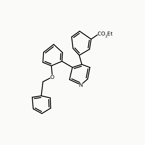 CCOC(=O)c1cccc(-c2ccncc2-c2ccccc2OCc2ccccc2)c1